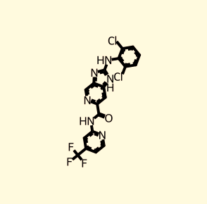 O=C(Nc1cc(C(F)(F)F)ccn1)c1cc2[nH]c(Nc3c(Cl)cccc3Cl)nc2cn1